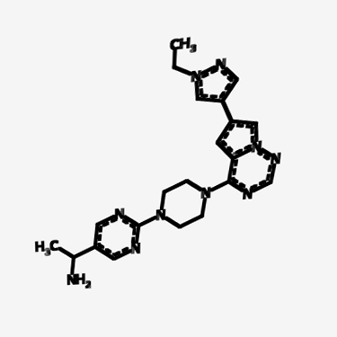 CCn1cc(-c2cc3c(N4CCN(c5ncc(C(C)N)cn5)CC4)ncnn3c2)cn1